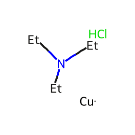 CCN(CC)CC.Cl.[Cu]